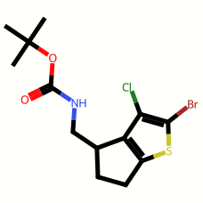 CC(C)(C)OC(=O)NCC1CCc2sc(Br)c(Cl)c21